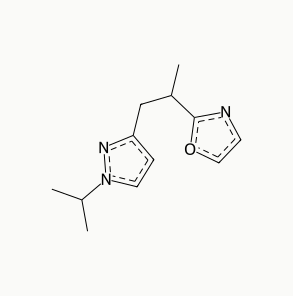 CC(Cc1ccn(C(C)C)n1)c1ncco1